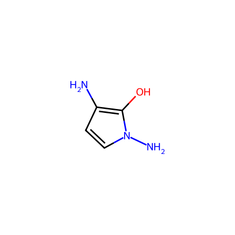 Nc1ccn(N)c1O